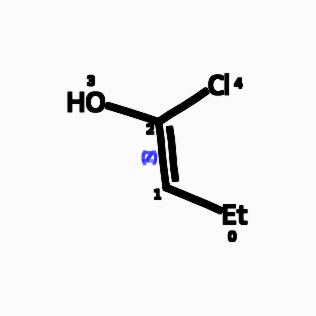 CC/C=C(/O)Cl